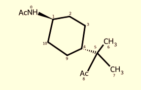 CC(=O)N[C@H]1CC[C@H](C(C)(C)C(C)=O)CC1